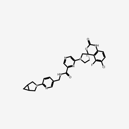 O=C1Nc2ccc(Cl)c(F)c2[C@]2(CCN(c3cncc(C(=O)NCc4ccc(N5CC6CC6C5)nc4)n3)C2)O1